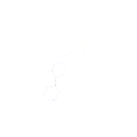 O=S(=O)([O-])CCC[n+]1ccc(-c2ncncn2)cc1